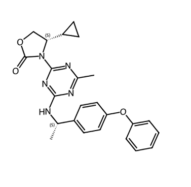 Cc1nc(N[C@@H](C)c2ccc(Oc3ccccc3)cc2)nc(N2C(=O)OC[C@@H]2C2CC2)n1